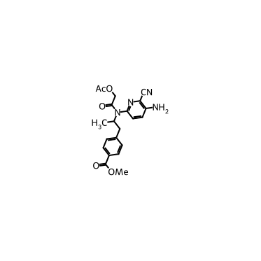 COC(=O)c1ccc(CC(C)N(C(=O)COC(C)=O)c2ccc(N)c(C#N)n2)cc1